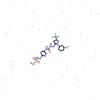 CS(=O)(=O)NCc1ncc(NC(=O)NCc2cc(C(F)(F)F)nn2-c2cccc(Cl)c2)cn1